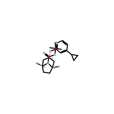 CC(C)(C)OC(=O)N1[C@@H]2CC[C@H]1C[C@@H](Oc1cc(C3CC3)ccn1)C2